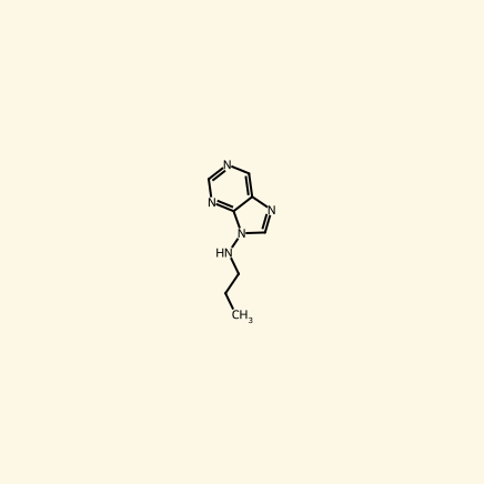 CCCNn1cnc2cncnc21